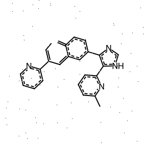 C=c1ccc(-c2nc[nH]c2-c2cccc(C)n2)c/c1=C/C(=C\C)c1ccccn1